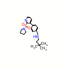 CC(C)(C)CCNCc1ccc(-c2cccnc2S(=O)(=O)N2CCCC2)cc1